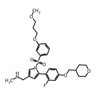 CNCc1cc(-c2ccc(OCC3CCOCC3)cc2F)n(S(=O)(=O)c2cccc(OCCCOC)c2)c1